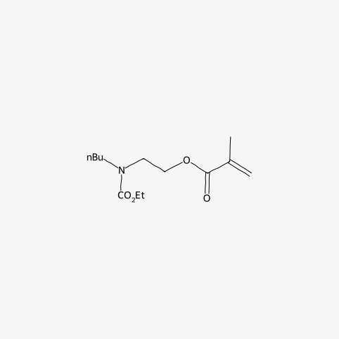 C=C(C)C(=O)OCCN(CCCC)C(=O)OCC